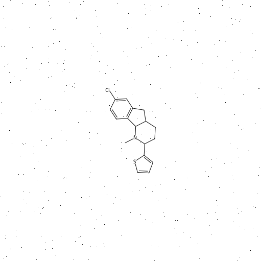 CN1C(c2cccs2)CCC2Cc3cc(Cl)ccc3C21